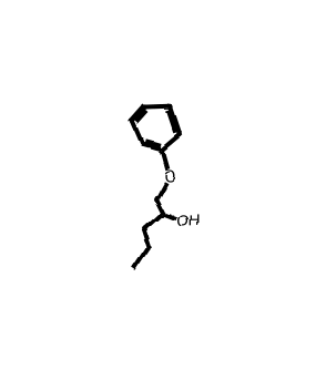 CCCC(O)COc1ccccc1